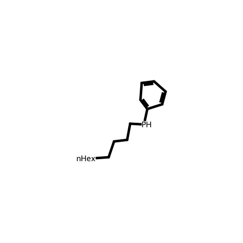 CCCCCCCCCCPc1ccccc1